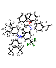 CC(C)(C)c1ccc(N2c3cc(C(F)(F)F)cc4c3B(c3cc5c(cc3N4c3ccc4c(c3)C(C)(C)CCC4(C)C)C(C)(C)CCC5(C)C)c3c2oc2ccccc32)c(-c2ccccc2)c1